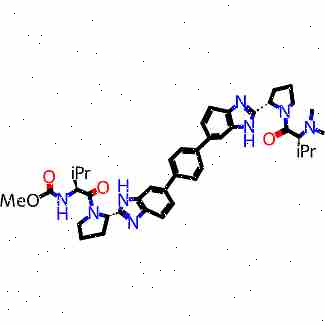 COC(=O)N[C@H](C(=O)N1CCC[C@H]1c1nc2ccc(-c3ccc(-c4ccc5nc([C@@H]6CCCN6C(=O)[C@@H](C(C)C)N(C)C)[nH]c5c4)cc3)cc2[nH]1)C(C)C